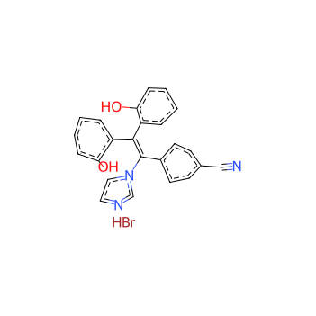 Br.N#Cc1ccc(C(=C(c2ccccc2O)c2ccccc2O)n2ccnc2)cc1